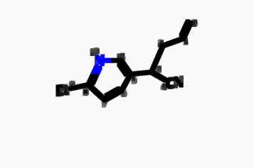 C=CCC(C#N)c1ccc(CC)nc1